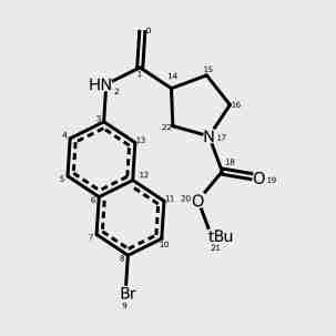 C=C(Nc1ccc2cc(Br)ccc2c1)C1CCN(C(=O)OC(C)(C)C)C1